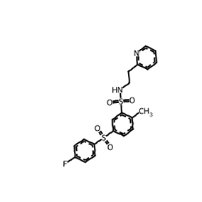 Cc1ccc(S(=O)(=O)c2ccc(F)cc2)cc1S(=O)(=O)NCCc1ccccn1